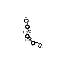 O=C(Nc1ccc2[nH]c(-c3cccc(CN4CCOCC4)c3)nc2c1)c1ccc(N2CCOCC2)cc1